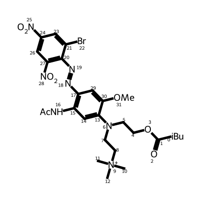 CCC(C)C(=O)OCCN(CC[N+](C)(C)C)c1cc(NC(C)=O)c(/N=N/c2c(Br)cc([N+](=O)[O-])cc2[N+](=O)[O-])cc1OC